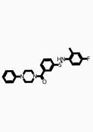 Cc1cc(F)ccc1NSc1cccc(C(=O)N2CCN(c3ccccc3)CC2)c1